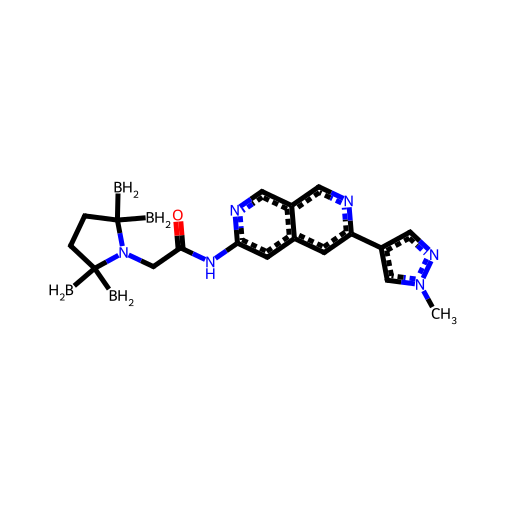 BC1(B)CCC(B)(B)N1CC(=O)Nc1cc2cc(-c3cnn(C)c3)ncc2cn1